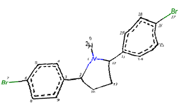 [2H]N1C(c2ccc(Br)cc2)CCC1c1ccc(Br)cc1